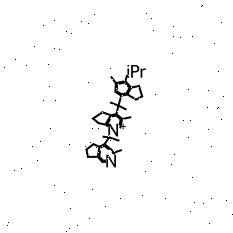 Cc1cc(C(C)(C)c2c(C)c[n+](C(C)(C)c3c(C)ncc4c3CCC4)c3c2CCC3)c2c(c1C(C)C)CCC2